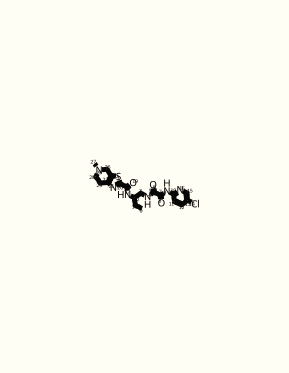 CCC(CNC(=O)C(=O)Nc1ccc(Cl)cn1)NC(=O)c1nc2c(s1)CN(C)CC2